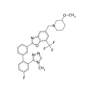 COC1CCCN(Cc2cc(C(F)(F)F)c3oc(-c4cccc(-c5ccc(F)cc5-c5nncn5C)c4)nc3c2)C1